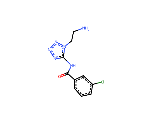 NCCn1nnnc1NC(=O)c1cccc(Cl)c1